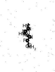 CC(C)Nc1cncc(-c2cnc3[nH]nc(-c4cc5c(-c6cc(F)cc(CCS(N)(=O)=O)c6)cncc5[nH]4)c3c2)c1